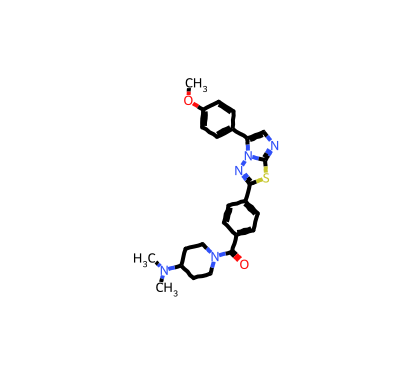 COc1ccc(-c2cnc3sc(-c4ccc(C(=O)N5CCC(N(C)C)CC5)cc4)nn23)cc1